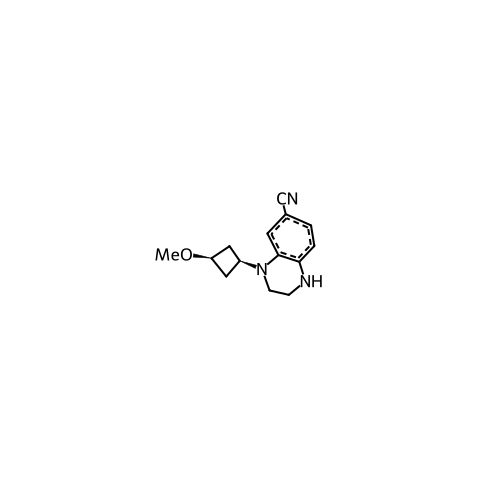 CO[C@H]1C[C@@H](N2CCNc3ccc(C#N)cc32)C1